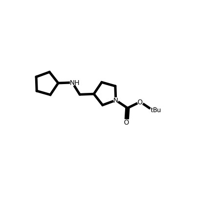 CC(C)(C)OC(=O)N1CCC(CNC2CCCC2)C1